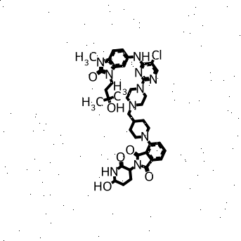 Cn1c(=O)n(CCC(C)(C)O)c2cc(Nc3nc(N4CCN(CC5CCN(c6cccc7c6C(=O)N(C6CCC(O)NC6=O)C7=O)CC5)CC4)ncc3Cl)ccc21